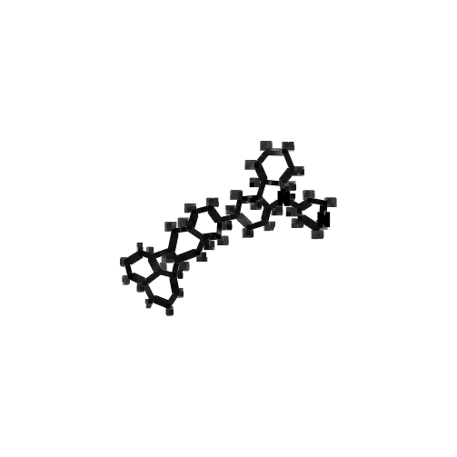 c1cc2c3c(cccc3c1)-c1cc3cc(-c4ccc5c(c4)c4ccccc4n5-c4ccncc4)ccc3cc1-2